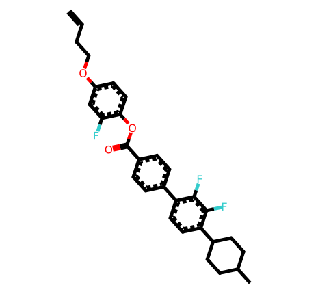 C=CCCOc1ccc(OC(=O)c2ccc(-c3ccc(C4CCC(C)CC4)c(F)c3F)cc2)c(F)c1